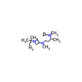 CC(CCN(C)C1CN(C(C)(C)C)C1)N(C)C1CC1